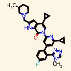 C[C@H]1CCCN(Cc2cc3c(C4CC4)cn(-c4cc(-c5ccc(F)cc5-c5nncn5C)cc(C5CC5)n4)c(=O)c3[nH]2)C1